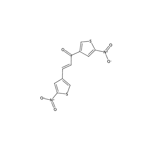 O=C(/C=C/c1csc([N+](=O)[O-])c1)c1csc([N+](=O)[O-])c1